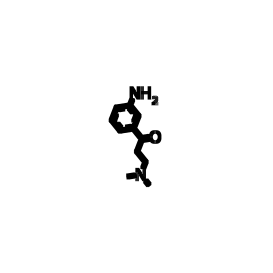 CN(C)CCC(=O)c1cccc(N)c1